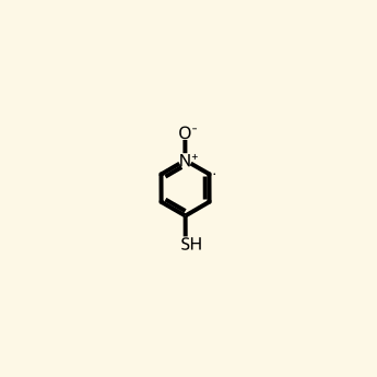 [O-][n+]1[c]cc(S)cc1